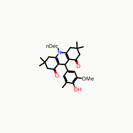 CCCCCCCCCCN1C2=C(C(=O)CC(C)(C)C2)C(c2cc(C)c(O)c(OC)c2)C2=C1CC(C)(C)CC2=O